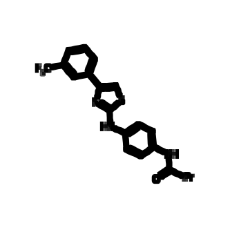 CC(C)C(=O)Nc1ccc(Nc2nc(-c3cccc(C(F)(F)F)c3)cs2)cc1